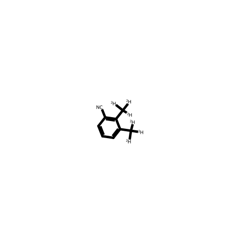 [2H]C([2H])([2H])c1cccc(C#N)c1C([2H])([2H])[2H]